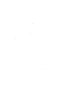 CCCCCCCCCCCCCCCN1C=CN(CCCCCCCCCCC)C1CCCCCCC